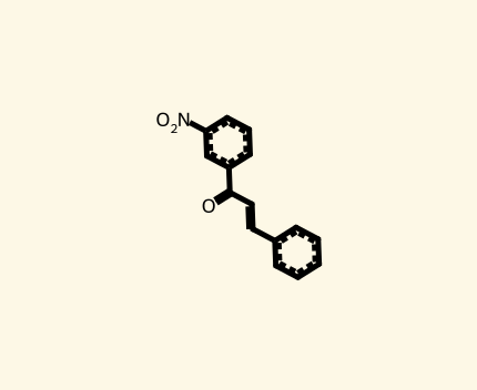 O=C(C=Cc1ccccc1)c1cccc([N+](=O)[O-])c1